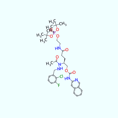 CC(=O)N(NCc1cccc(F)c1Cl)[C@@H](CCC(=O)NCCOP(=O)(OC(C)(C)C)OC(C)(C)C)COC(=O)Nc1cc2ccccc2cn1